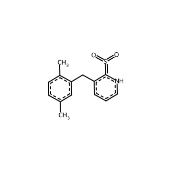 Cc1ccc(C)c(Cc2ccc[nH]c2=S(=O)=O)c1